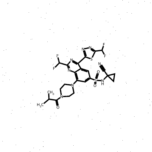 CC(C)C(=O)N1CCN(c2cc(S(=O)(=O)NC3(C#N)CC3)cc3c(-c4nnc(C(F)F)s4)nc(C(F)F)nc23)CC1